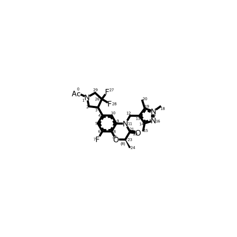 CC(=O)N1CC(c2cc(F)c3c(c2)N(Cc2c(C)nn(C)c2C)C(=O)[C@@H](C)O3)C(F)(F)C1